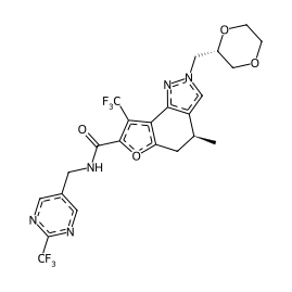 C[C@H]1Cc2oc(C(=O)NCc3cnc(C(F)(F)F)nc3)c(C(F)(F)F)c2-c2nn(C[C@H]3COCCO3)cc21